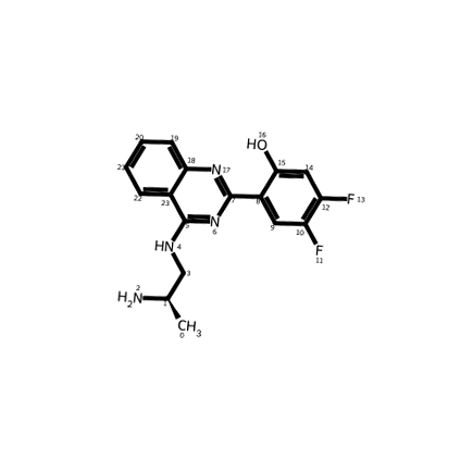 C[C@@H](N)CNc1nc(-c2cc(F)c(F)cc2O)nc2ccccc12